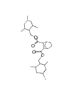 CC1CC(C)C(COC(=O)C2C3CCC(C3)C2C(=O)OCC2C(C)CC(C)CC2C)C(C)C1